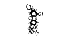 Nc1nc2ccc(Oc3cc(Cl)cc(Cl)c3)cc2s1